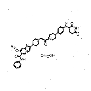 CC(C)Oc1cc2nc(C3CCN(CC(=O)N4CCC(c5ccc(NC6CCC(=O)NC6=O)cc5)CC4)CC3)cn2cc1C(=O)Nc1ccccc1.O=CO